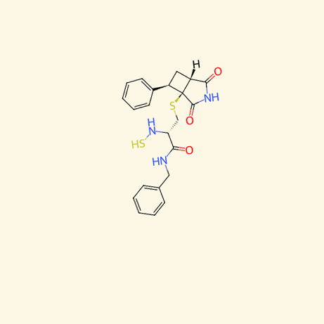 O=C1NC(=O)[C@@]2(SC[C@@H](NS)C(=O)NCc3ccccc3)[C@@H]1C[C@@H]2c1ccccc1